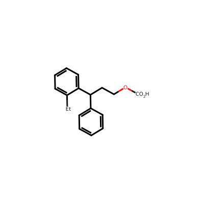 CCc1ccccc1C(CCOC(=O)O)c1ccccc1